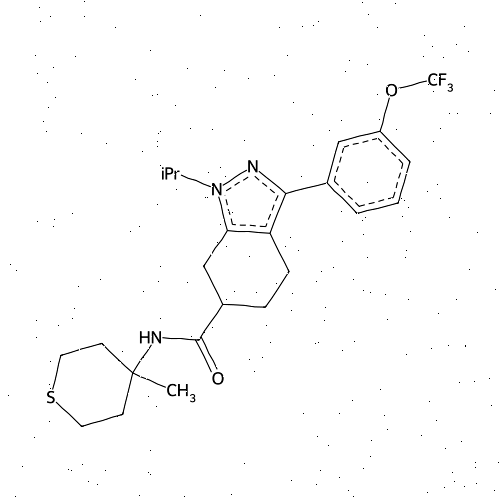 CC(C)n1nc(-c2cccc(OC(F)(F)F)c2)c2c1CC(C(=O)NC1(C)CCSCC1)CC2